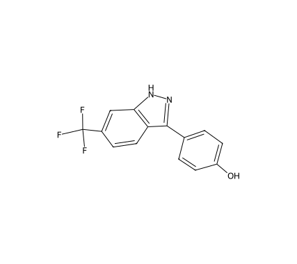 Oc1ccc(-c2n[nH]c3cc(C(F)(F)F)ccc23)cc1